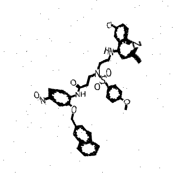 COc1ccc(S(=O)(=O)N(CCNc2cc(C)nc3ccc(Cl)cc23)CCC(=O)Nc2ccc(N=O)cc2OCc2ccc3ccccc3c2)cc1